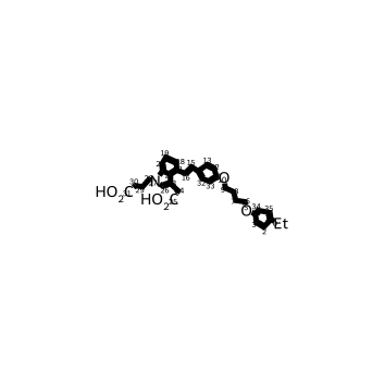 CCc1ccc(OCCCCOc2ccc(C=Cc3cccc4c3c(CC(=O)O)cn4CCCC(=O)O)cc2)cc1